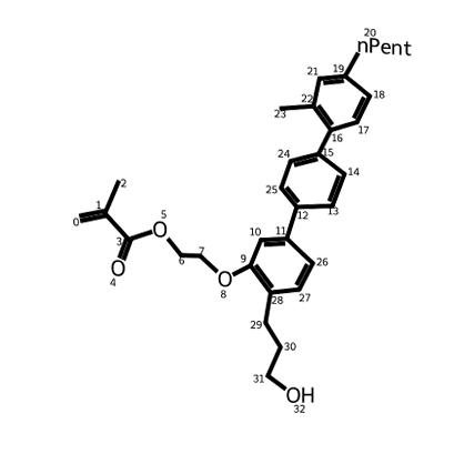 C=C(C)C(=O)OCCOc1cc(-c2ccc(-c3ccc(CCCCC)cc3C)cc2)ccc1CCCO